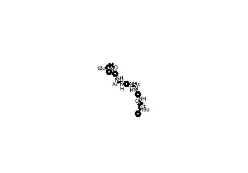 CCC(C)(CC(c1ccccc1)C(C)(C)C)C(C)C(=O)Nc1ccc(N/N=C(/C(C)=O)C(=O)Nc2ccc(NC(=O)/C(=N\Nc3ccc(NC(=O)C(C)C(C)(C)CC(c4ccccc4)C(C)(C)C)cc3)C(C)=O)cc2)cc1